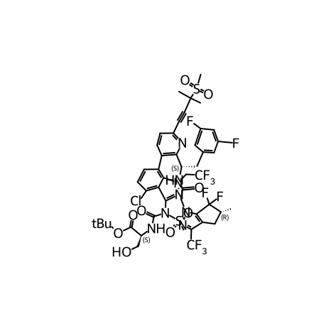 C[C@@H]1Cc2c(C(F)(F)F)nn(CC(=O)N[C@@H](Cc3cc(F)cc(F)c3)c3nc(C#CC(C)(C)S(C)(=O)=O)ccc3-c3ccc(Cl)c4c(N(C(=O)N[C@@H](CO)C(=O)OC(C)(C)C)S(C)(=O)=O)nn(CC(F)(F)F)c34)c2C1(F)F